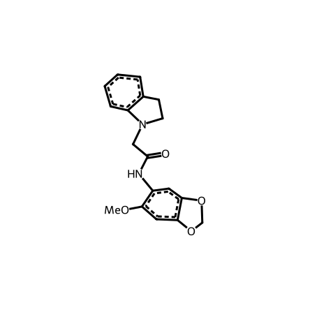 COc1cc2c(cc1NC(=O)CN1CCc3ccccc31)OCO2